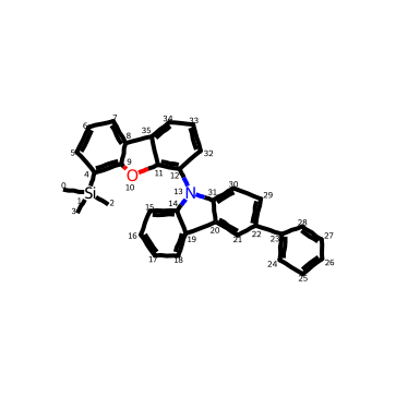 C[Si](C)(C)c1cccc2c1oc1c(-n3c4ccccc4c4cc(-c5ccccc5)ccc43)cccc12